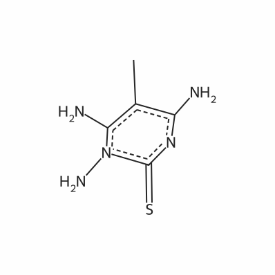 Cc1c(N)nc(=S)n(N)c1N